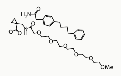 COCCOCCOCCOCCOCCOCC(=O)NCC1(C([O])=O)CC1.NC(=O)Cc1ccc(CCCCc2ccccc2)cc1